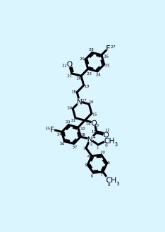 CC[N+]1(Cc2ccc(C)cc2)C(=O)OC2(CCN(CCC(C=O)c3ccc(F)cc3)CC2)c2cc(F)ccc21